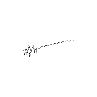 CCCCCCCCCCCCCCCCCCNC(=O)n1cc(F)c(=O)[nH]c1=O